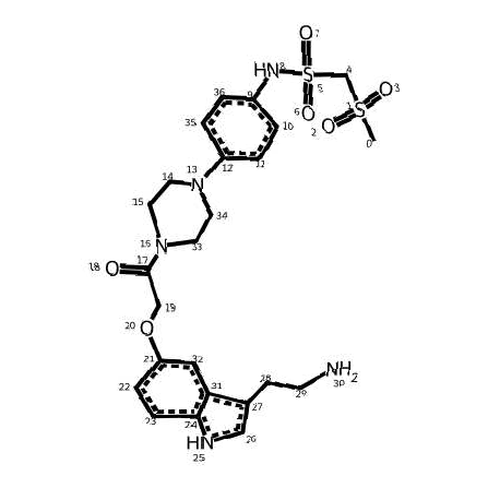 CS(=O)(=O)CS(=O)(=O)Nc1ccc(N2CCN(C(=O)COc3ccc4[nH]cc(CCN)c4c3)CC2)cc1